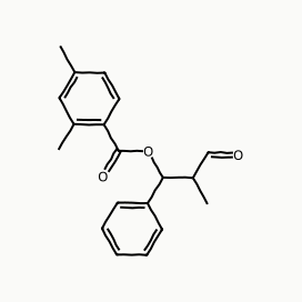 Cc1ccc(C(=O)OC(c2ccccc2)C(C)C=O)c(C)c1